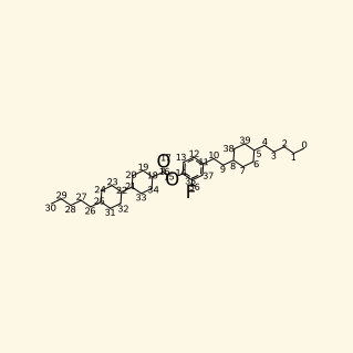 CCCCCC1CCC(CCc2ccc(OC(=O)C3CCC(C4CCC(CCCCC)CC4)CC3)c(F)c2)CC1